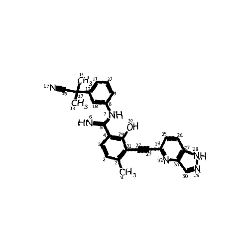 Cc1ccc(C(=N)Nc2cccc(C(C)(C)C#N)c2)c(O)c1C#Cc1ccc2[nH]ncc2n1